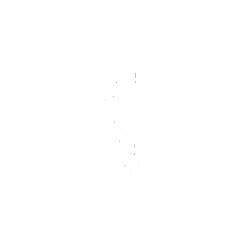 C=CCCC1CCC(c2ccc(-c3ccc(-c4ccc(CCC)c(F)c4F)cc3)c(F)c2)CO1